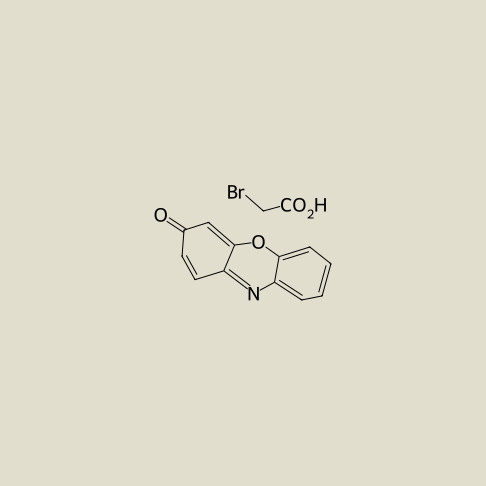 O=C(O)CBr.O=c1ccc2nc3ccccc3oc-2c1